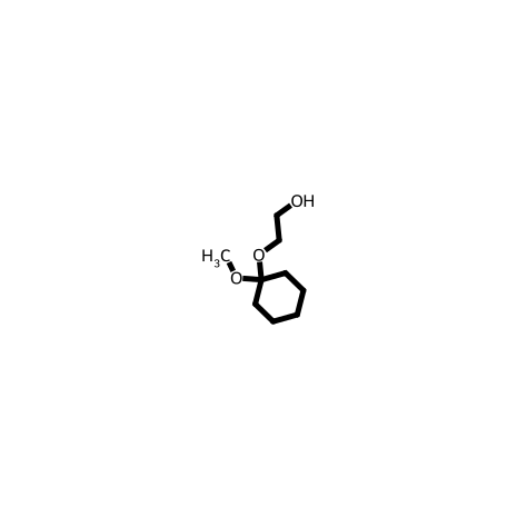 COC1(OCCO)CCCCC1